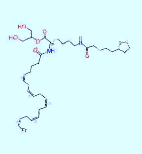 CC/C=C\C/C=C\C/C=C\C/C=C\C/C=C\CCCC(=O)N[C@@H](CCCCNC(=O)CCCCC1CCSS1)C(=O)OC(CO)CO